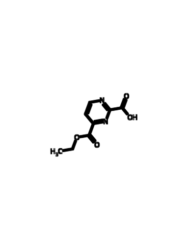 CCOC(=O)c1ccnc(C(=O)O)n1